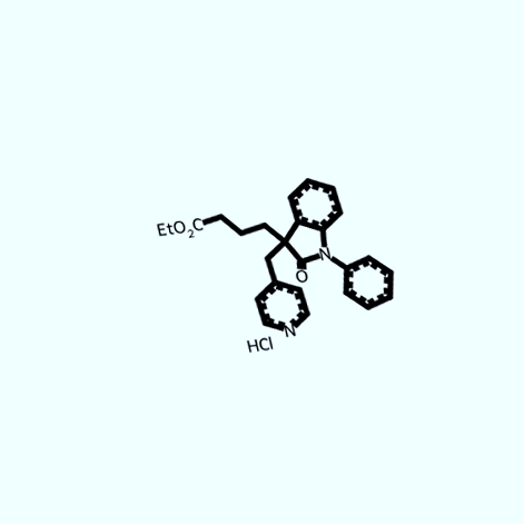 CCOC(=O)CCCC1(Cc2ccncc2)C(=O)N(c2ccccc2)c2ccccc21.Cl